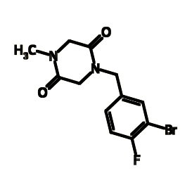 CN1CC(=O)N(Cc2ccc(F)c(Br)c2)CC1=O